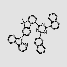 CC1(C)c2cc(-n3c4ccccc4c4cccnc43)ccc2-c2c(-c3nc(-c4ccc5ccccc5c4)nc(-c4cccc5ccccc45)n3)cccc21